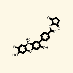 CC(=O)N1c2cc(F)c(O)cc2Oc2cc(O)c(-c3ccc(C(=O)OC4C(=O)CCC4=O)cc3)cc21